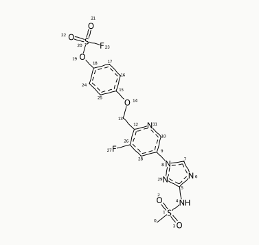 CS(=O)(=O)Nc1ncn(-c2cnc(COc3ccc(OS(=O)(=O)F)cc3)c(F)c2)n1